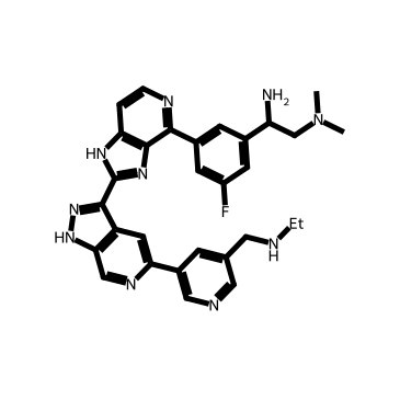 CCNCc1cncc(-c2cc3c(-c4nc5c(-c6cc(F)cc(C(N)CN(C)C)c6)nccc5[nH]4)n[nH]c3cn2)c1